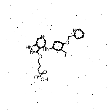 CCc1cc(Nc2cncc3[nH]nc(OCCCS(=O)(=O)O)c23)ccc1OCc1ccccn1